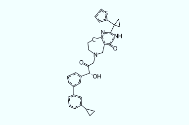 O=C(CN1CCCc2nc(C3(c4cccs4)CC3)[nH]c(=O)c2C1)[C@H](O)c1cccc(-c2cccc(C3CC3)c2)c1